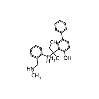 CCC(C)(Pc1ccccc1CNC)c1cc(-c2ccccc2)ccc1O